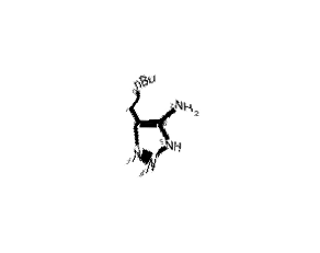 CCCCCc1nn[nH]c1N